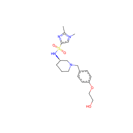 Cc1nc(S(=O)(=O)N[C@@H]2CCCN(Cc3ccc(OCCO)cc3)C2)cn1C